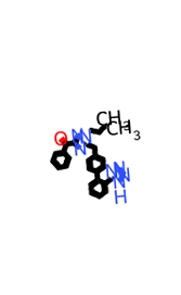 CC(C)CCn1nc(C(=O)c2ccccc2)nc1Cc1ccc(-c2ccccc2-c2nnn[nH]2)cc1